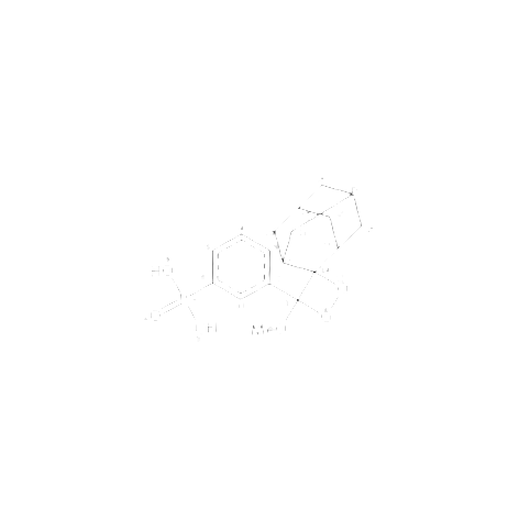 COC1(c2cccc(P(=O)(O)O)c2)OOC12C1CC3CC(C1)CC2C3